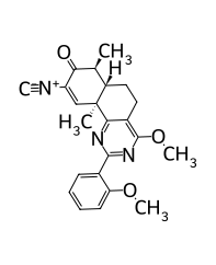 [C-]#[N+]C1=C[C@]2(C)c3nc(-c4ccccc4OC)nc(OC)c3CC[C@H]2[C@H](C)C1=O